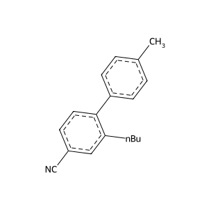 CCCCc1cc(C#N)ccc1-c1ccc(C)cc1